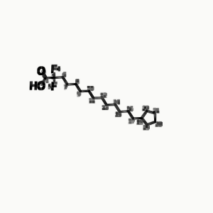 O=C(O)C(F)(F)CCCCCCCCCCCCC1CCCC1